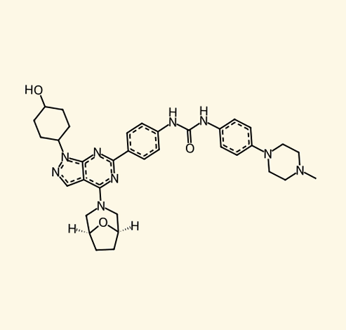 CN1CCN(c2ccc(NC(=O)Nc3ccc(-c4nc(N5C[C@H]6CC[C@@H](C5)O6)c5cnn(C6CCC(O)CC6)c5n4)cc3)cc2)CC1